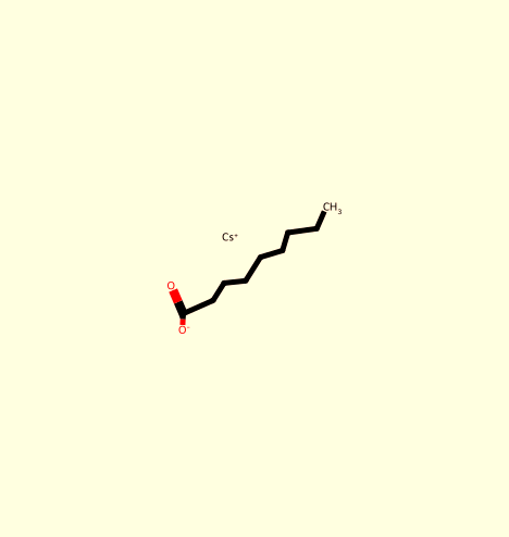 CCCCCCCCC(=O)[O-].[Cs+]